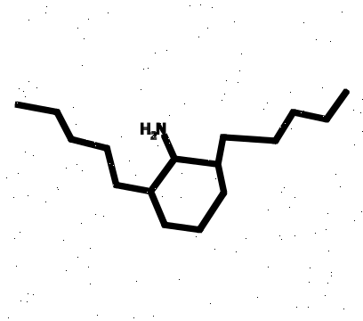 CCCCCC1CCCC(CCCCC)C1N